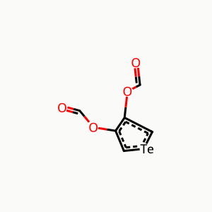 O=COc1c[te]cc1OC=O